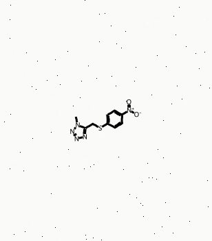 Cn1nnnc1CSc1ccc([N+](=O)[O-])cc1